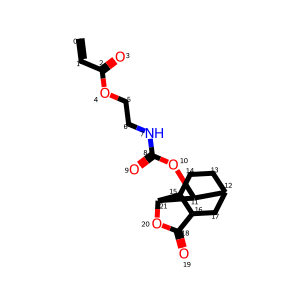 C=CC(=O)OCCNC(=O)OC1C2CCC3C(C2)C(=O)OC31